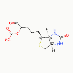 O=CC(CCC[C@@H]1SC[C@@H]2NC(=O)N[C@@H]21)OC(=O)O